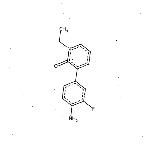 CCn1cccc(-c2ccc(N)c(F)c2)c1=O